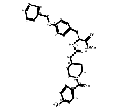 COC(=O)[C@H](Cc1ccc(OCc2ccccc2)cc1)NC(=O)CC1CCN(C(=O)c2ccc(N)cc2)CC1